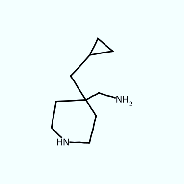 NCC1(CC2CC2)CCNCC1